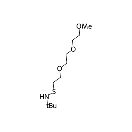 COCCOCCOCCSNC(C)(C)C